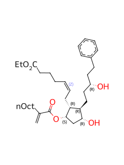 C=C(CCCCCCCC)C(=O)O[C@H]1C[C@@H](O)[C@H](CC[C@@H](O)CCc2ccccc2)[C@H]1C/C=C\CCCC(=O)OCC